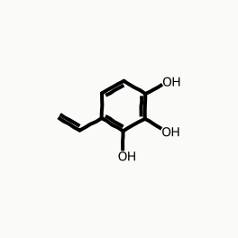 C=Cc1ccc(O)c(O)c1O